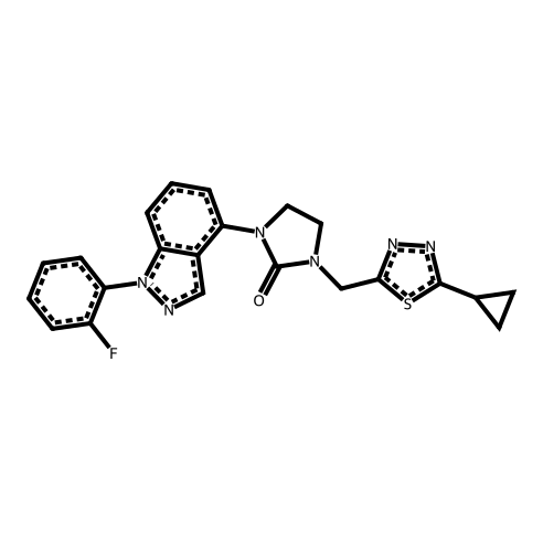 O=C1N(Cc2nnc(C3CC3)s2)CCN1c1cccc2c1cnn2-c1ccccc1F